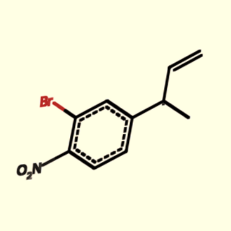 C=C[C](C)c1ccc([N+](=O)[O-])c(Br)c1